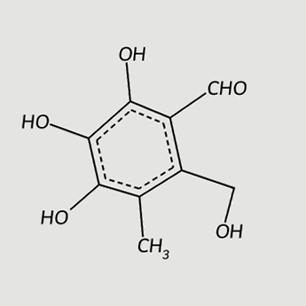 Cc1c(O)c(O)c(O)c(C=O)c1CO